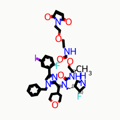 C[C@@H](COC(=O)NCCOCCN1C(=O)C=CC1=O)NC(=O)N(C[C@@H]1CNC[C@@H]1F)[C@@H](c1nc(-c2cc(I)ccc2F)cn1Cc1ccccc1)C1CCOCC1